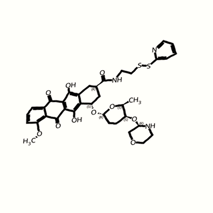 COc1cccc2c1C(=O)c1c(O)c3c(c(O)c1C2=O)C[C@@H](C(=O)NCCSSc1ccccn1)C[C@@H]3O[C@H]1CC[C@H](O[C@@H]2COCCN2)[C@H](C)O1